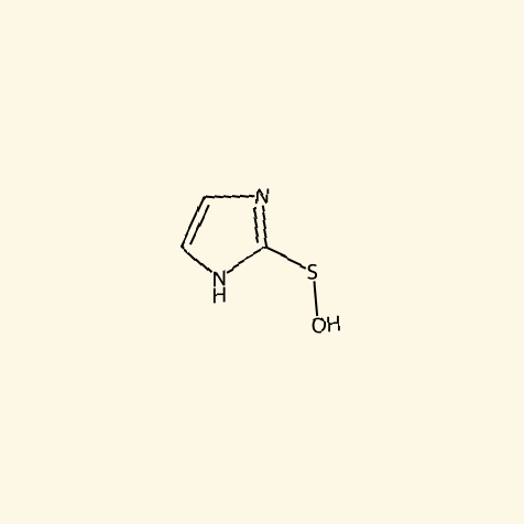 OSc1ncc[nH]1